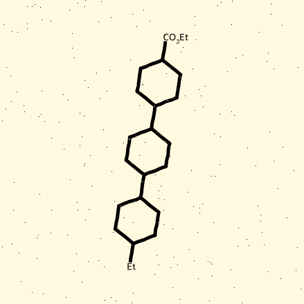 CCOC(=O)C1CCC(C2CCC(C3CCC(CC)CC3)CC2)CC1